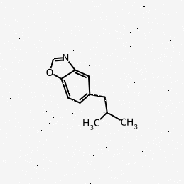 C[C](C)Cc1ccc2ocnc2c1